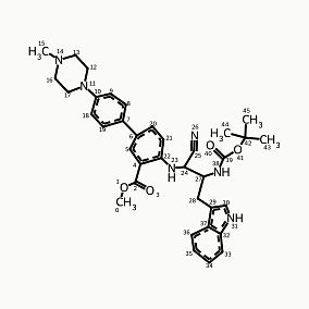 COC(=O)c1cc(-c2ccc(N3CCN(C)CC3)cc2)ccc1NC(C#N)C(Cc1c[nH]c2ccccc12)NC(=O)OC(C)(C)C